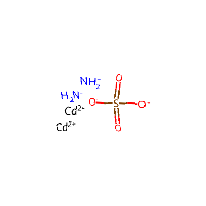 O=S(=O)([O-])[O-].[Cd+2].[Cd+2].[NH2-].[NH2-]